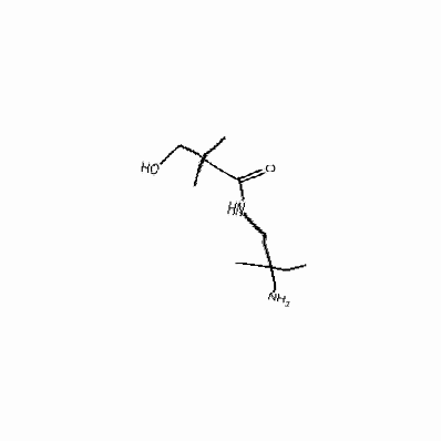 CC(C)(N)CNC(=O)C(C)(C)CO